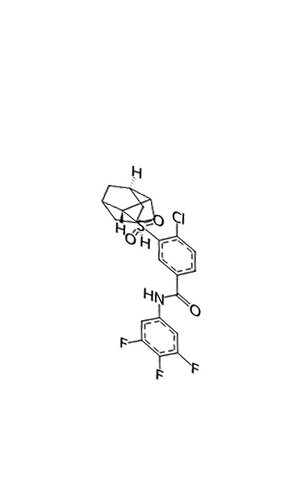 O=C(Nc1cc(F)c(F)c(F)c1)c1ccc(Cl)c(S(=O)(=O)[C@@H]2C3C[C@@H]4CC2[C@H](C3)C4)c1